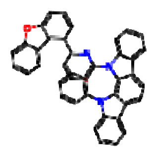 c1ccc(-n2c3ccccc3c3ccc4c5ccccc5n(-c5cccc(-c6cccc7oc8ccccc8c67)n5)c4c32)cc1